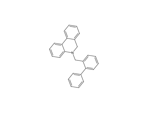 c1ccc(-c2ccccc2CN2Cc3ccccc3-c3ccccc32)cc1